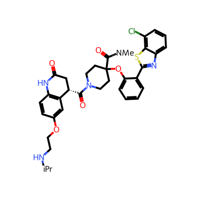 CNC(=O)C1(Oc2ccccc2-c2nc3cccc(Cl)c3s2)CCN(C(=O)[C@H]2CC(=O)Nc3ccc(OCCNC(C)C)cc32)CC1